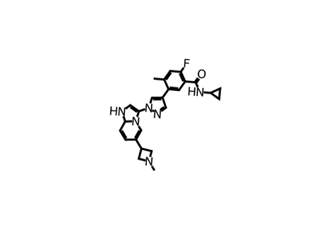 Cc1cc(F)c(C(=O)NC2CC2)cc1-c1cnn(C2=CNC3C=CC(C4CN(C)C4)=CN23)c1